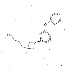 C[C@]1(CCCO)C[C@@H](c2cccc(Oc3ccccc3)c2)C1